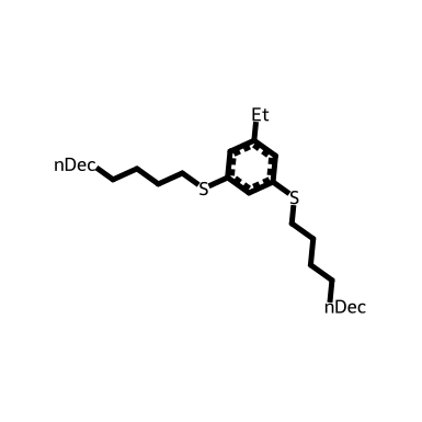 [CH2]Cc1cc(SCCCCCCCCCCCCCC)cc(SCCCCCCCCCCCCCC)c1